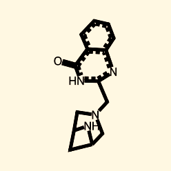 O=c1[nH]c(CN2CC3CC(C2)N3)nc2ccccc12